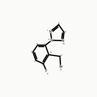 Fc1cccc(-n2nccn2)c1CBr